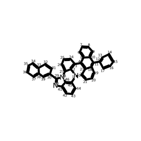 CN1c2c(-c3c4ccccc4c(-c4ccccc4)c4ccccc34)cccc2-n2c(-c3ccc4ccccc4c3)nc3cccc1c32